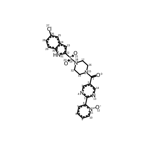 O=C(c1cnc(-c2cccc[n+]2[O-])nc1)N1CCN(S(=O)(=O)c2cc3cc(Cl)ccc3[nH]2)CC1